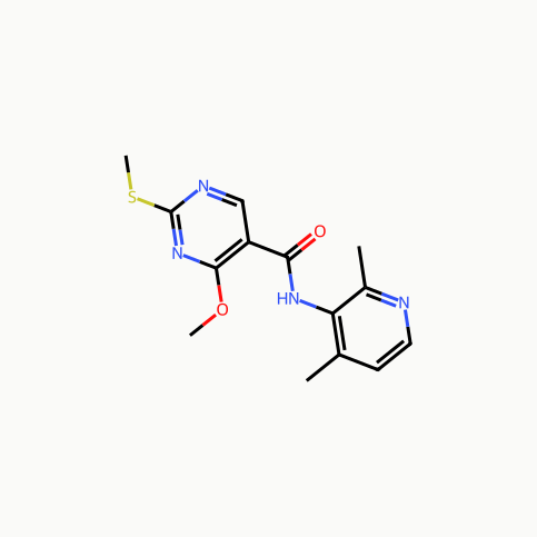 COc1nc(SC)ncc1C(=O)Nc1c(C)ccnc1C